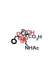 CC(=O)NCCCS(=O)(=O)OC(C(OC(=O)Cc1ccccc1)C(C)C)C(C)(C)[C@@H](O)C(=O)O